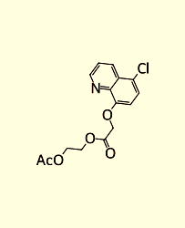 CC(=O)OCCOC(=O)COc1ccc(Cl)c2cccnc12